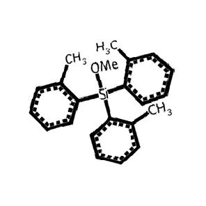 CO[Si](c1ccccc1C)(c1ccccc1C)c1ccccc1C